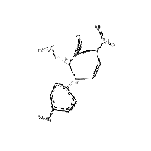 CCOC(=O)C[C@@H]1C(=O)N([SH](=O)=O)C=C[C@@H]1c1ccc(OC)cc1